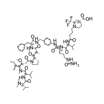 CC[C@H](C)[C@@H]([C@@H](CC(=O)N1CCC[C@H]1[C@H](OC)[C@@H](C)C(=O)N[C@@H](Cc1ccccc1)C(=O)NCc1ccc(NC(=O)[C@H](CCCNC(N)=O)NC(=O)[C@@H](NC(=O)CCCN2CC[C@@H](C(=O)O)C[C@H]2C(F)(F)F)C(C)C)cc1)OC)N(C)C(=O)[C@@H](NC(=O)[C@H](C(C)C)N(C)C)C(C)C